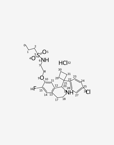 CCCS(=O)(=O)NCCOc1cc2c(cc1F)CCNC2C1(c2ccc(Cl)cc2)CCC1.Cl